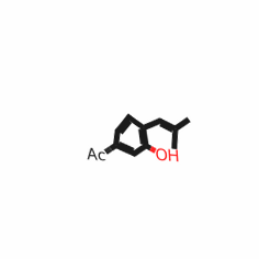 CC(=O)c1ccc(C=C(C)C)c(O)c1